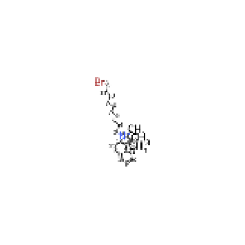 CC1=[N+](CCCCCCCCCCBr)c2ccc3ccccc3c2C1(C)C